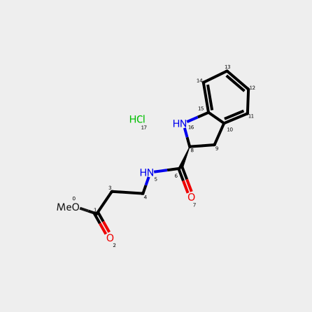 COC(=O)CCNC(=O)[C@@H]1Cc2ccccc2N1.Cl